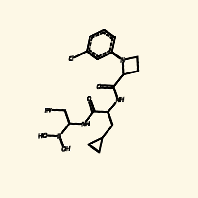 CC(C)CC(NC(=O)C(CC1CC1)NC(=O)C1CCN1c1cccc(Cl)c1)B(O)O